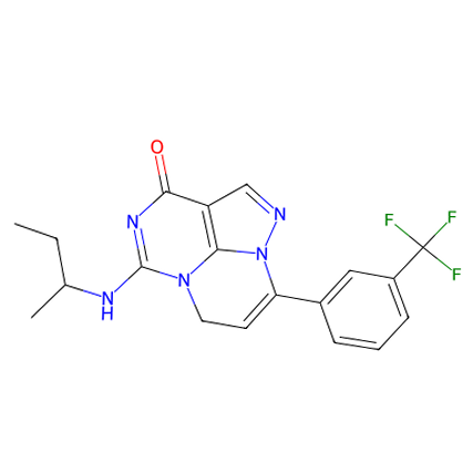 CCC(C)Nc1nc(=O)c2cnn3c2n1CC=C3c1cccc(C(F)(F)F)c1